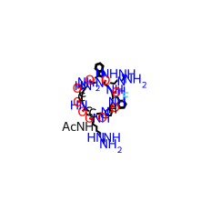 CC(=O)N[C@@H](CCCNC(=N)N)C(=O)N[C@H]1CCC(=O)NC(=O)CC[C@@H](C(N)=O)NC(=O)[C@H](Cc2c[nH]c3ccccc23)NC(=O)[C@H](CCCNC(=N)N)NC(=O)[C@@H](Cc2ccccc2F)NC(=O)[C@@H]2CCCN2C1=O